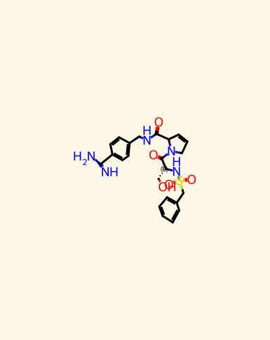 N=C(N)c1ccc(CNC(=O)C2C=CCN2C(=O)[C@@H](CO)NS(=O)(=O)Cc2ccccc2)cc1